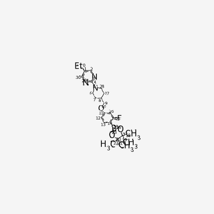 CCc1cnc(N2CCC(COc3ccc(B4OC(C)(C)C(C)(C)O4)c(F)c3)CC2)nc1